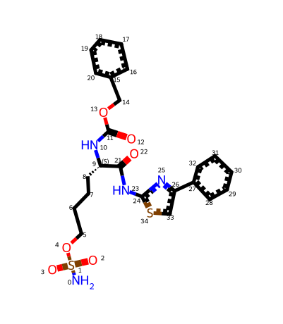 NS(=O)(=O)OCCCC[C@H](NC(=O)OCc1ccccc1)C(=O)Nc1nc(-c2ccccc2)cs1